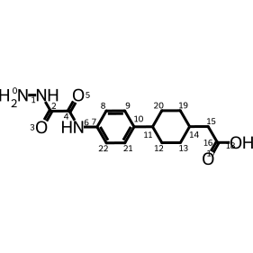 NNC(=O)C(=O)Nc1ccc(C2CCC(CC(=O)O)CC2)cc1